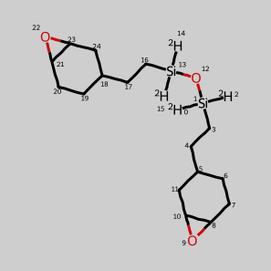 [2H][Si]([2H])(CCC1CCC2OC2C1)O[Si]([2H])([2H])CCC1CCC2OC2C1